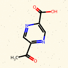 CC(=O)c1cnc(C(=O)O)cn1